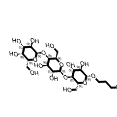 NCCCO[C@@H]1O[C@H](CO)[C@@H](O[C@@H]2O[C@H](CO)[C@H](O[C@H]3O[C@H](CO)[C@H](O)[C@H](O)[C@H]3O)[C@H](O)[C@H]2O)[C@H](O)[C@H]1O